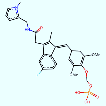 COC1=CC(/C=C2/C(C)=C(CC(=O)NCc3cccn3C)c3cc(F)ccc32)CC(OC)=C1OCOP(=O)(O)O